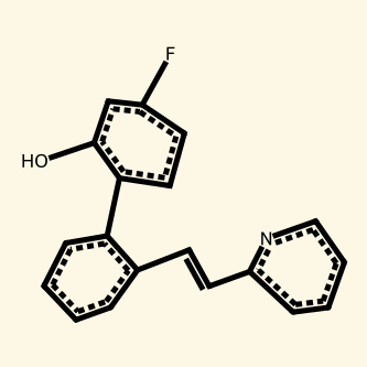 Oc1cc(F)ccc1-c1ccccc1/C=C/c1ccccn1